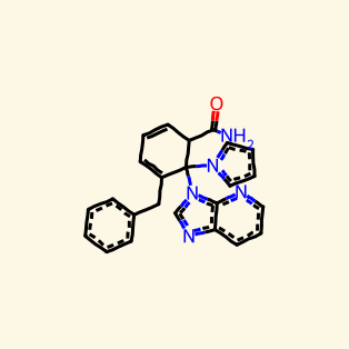 NC(=O)C1C=CC=C(Cc2ccccc2)C1(n1cccc1)n1cnc2cccnc21